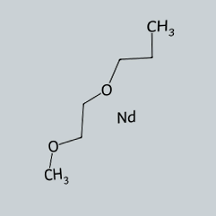 CCCOCCOC.[Nd]